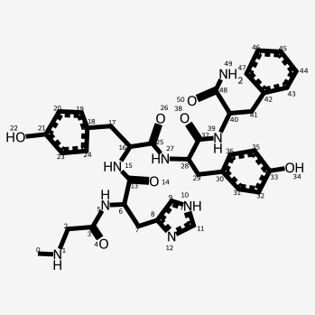 CNCC(=O)NC(Cc1c[nH]cn1)C(=O)NC(Cc1ccc(O)cc1)C(=O)NC(Cc1ccc(O)cc1)C(=O)NC(Cc1ccccc1)C(N)=O